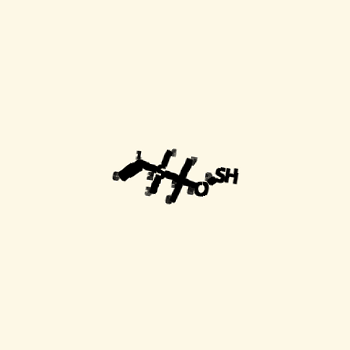 C=CS(C)(C)C(C)(C)OS